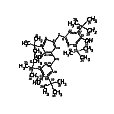 CC(C)(C)c1cc(Cc2cc(C(C)(C)C)c(O)c(C(C)(C)C)c2)cc(Cc2cc(C(C)(C)C)c(O)c(C(C)(C)C)c2)c1O